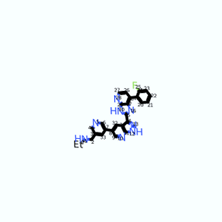 CCNCc1cncc(-c2cnc3[nH]nc(-c4nc5c(-c6ccccc6F)ccnc5[nH]4)c3c2)c1